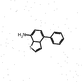 NC1=CC=C(c2ccccc2)C2C=CSC12